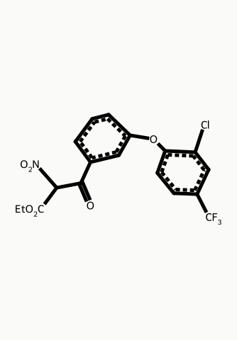 CCOC(=O)C(C(=O)c1cccc(Oc2ccc(C(F)(F)F)cc2Cl)c1)[N+](=O)[O-]